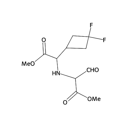 COC(=O)C(C=O)NC(C(=O)OC)C1CC(F)(F)C1